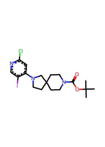 CC(C)(C)OC(=O)N1CCC2(CC1)CCN(c1cc(Cl)ncc1I)C2